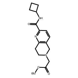 CC(C)(C)OC(=O)CN1CCc2nc(C(=O)NC3CCC3)ccc2C1